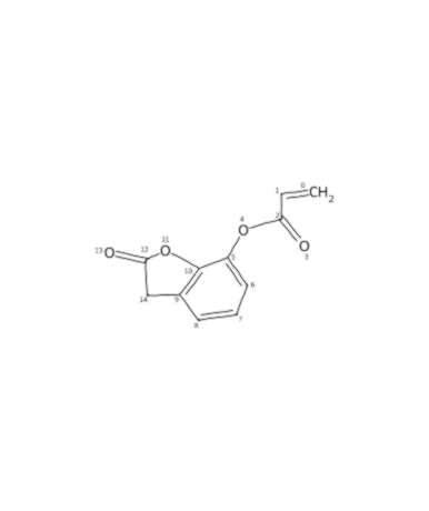 C=CC(=O)Oc1cccc2c1OC(=O)C2